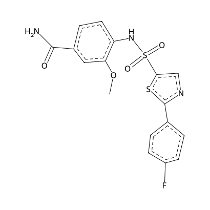 COc1cc(C(N)=O)ccc1NS(=O)(=O)c1cnc(-c2ccc(F)cc2)s1